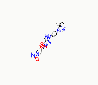 CN(C)C(=O)N1CCC(O)(Cn2cnc3c(cnn3-c3ccc(N4CCN5CCCC[C@H]5C4)cc3)c2=O)CC1